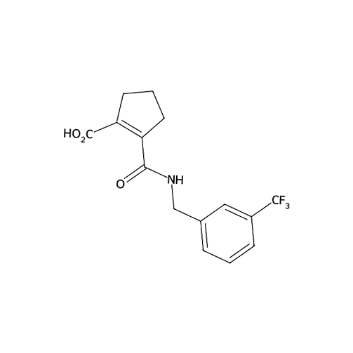 O=C(O)C1=C(C(=O)NCc2cccc(C(F)(F)F)c2)CCC1